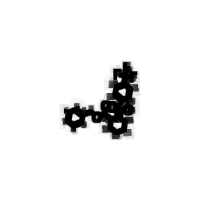 O=C(OCc1ccccc1)C1CCCCN1S(=O)(=O)c1ccc(C(F)(F)F)cc1